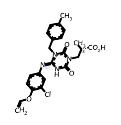 C=COc1ccc(/N=c2\[nH]c(=O)n(C[C@H](C)C(=O)O)c(=O)n2Cc2ccc(C)cc2)cc1Cl